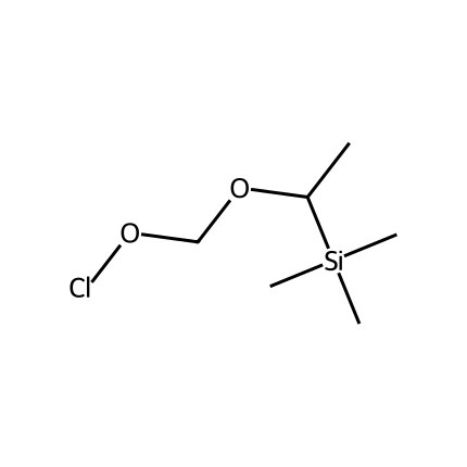 CC(OCOCl)[Si](C)(C)C